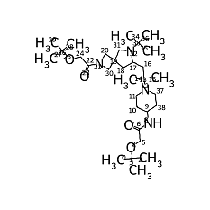 CC(C)(C)OCC(=O)NC1CCN(C(C)(C)CC2CC3(CN(C(=O)COC(C)(C)C)C3)CN2C(C)(C)C)CC1